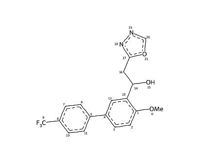 COc1ccc(-c2ccc(C(F)(F)F)cc2)cc1C(O)Cc1nnco1